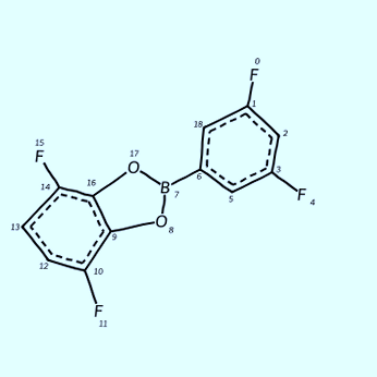 Fc1cc(F)cc(B2Oc3c(F)ccc(F)c3O2)c1